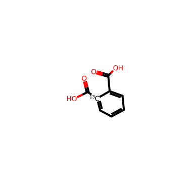 O=C(O)c1cccc[13c]1C(=O)O